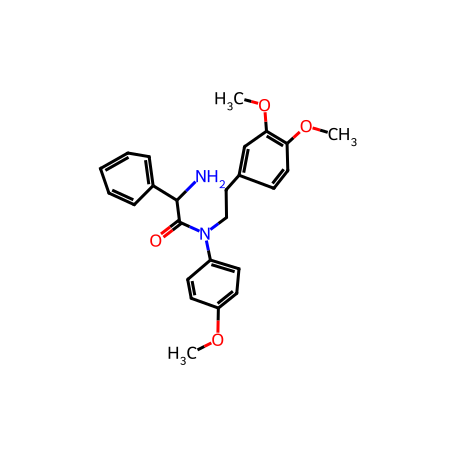 COc1ccc(N(CCc2ccc(OC)c(OC)c2)C(=O)C(N)c2ccccc2)cc1